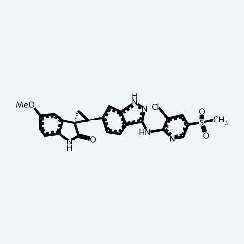 COc1ccc2c(c1)[C@]1(C[C@H]1c1ccc3c(Nc4ncc(S(C)(=O)=O)cc4Cl)n[nH]c3c1)C(=O)N2